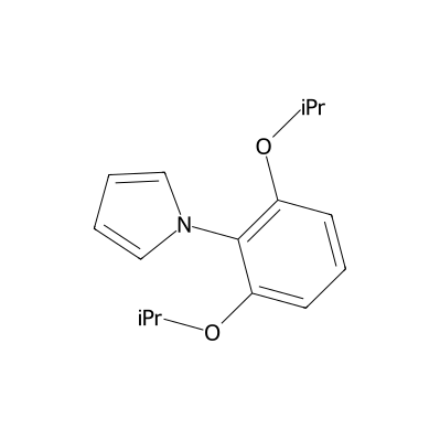 CC(C)Oc1cccc(OC(C)C)c1-n1cccc1